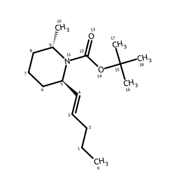 CCCC=C[C@H]1CCC[C@H](C)N1C(=O)OC(C)(C)C